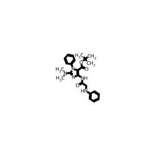 CN(C)c1nc(NC(=O)CNc2ccccc2)c(C(=O)OC(C)(C)C)n1-c1ccccc1